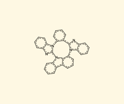 c1ccc2c(c1)nc1c3ccccc3n3c4ccccc4nc3n3c4ccccc4c4cccc(c43)n21